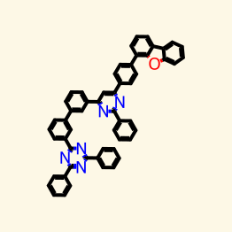 c1ccc(-c2nc(-c3ccc(-c4cccc5c4oc4ccccc45)cc3)cc(-c3cccc(-c4cccc(-c5nc(-c6ccccc6)nc(-c6ccccc6)n5)c4)c3)n2)cc1